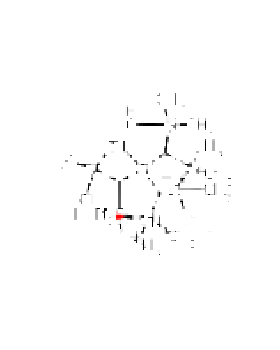 C[Si](C)(C)[CH]([Si](C)(C)C)[Bi]([Cl])([CH]([Si](C)(C)C)[Si](C)(C)C)[CH]([Si](C)(C)C)[Si](C)(C)C